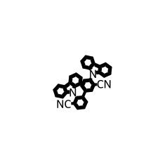 N#Cc1cc(-c2cccc(C#N)c2-n2c3ccccc3c3ccccc32)ccc1-n1c2ccccc2c2ccccc21